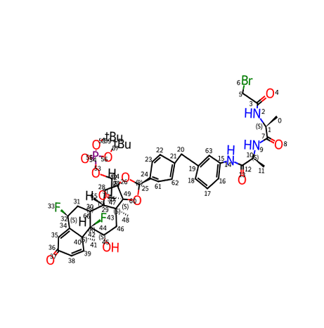 C[C@H](NC(=O)CBr)C(=O)N[C@@H](C)C(=O)Nc1cccc(Cc2ccc([C@@H]3O[C@@H]4C[C@H]5[C@@H]6C[C@H](F)C7=CC(=O)C=C[C@]7(C)[C@@]6(F)[C@@H](O)C[C@]5(C)[C@]4(C(=O)COP(=O)(OC(C)(C)C)OC(C)(C)C)O3)cc2)c1